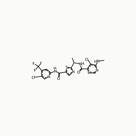 CNc1ncnc(C(=O)NC(C)c2ncc(C(=O)Nc3cc(C(F)(F)F)c(Cl)cn3)s2)c1Cl